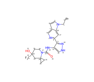 CC(C)Cn1ccc2cnc(-c3n[nH]cc3NC(=O)N3CCC(O)(C(F)(F)F)CC34CC4)cc21